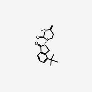 C=C1CCN(N2Cc3c(cccc3C(C)(C)C)C2=O)C(=O)N1